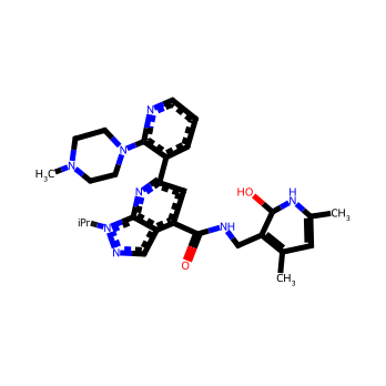 CC1=CC(C)=C(CNC(=O)c2cc(-c3cccnc3N3CCN(C)CC3)nc3c2cnn3C(C)C)C(O)N1